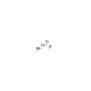 [Cr].[Cu].[Nb].[Zr]